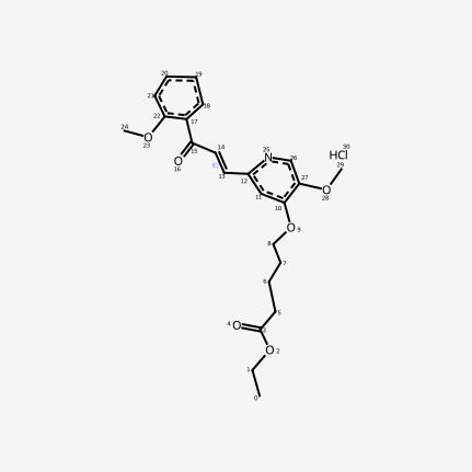 CCOC(=O)CCCCOc1cc(/C=C/C(=O)c2ccccc2OC)ncc1OC.Cl